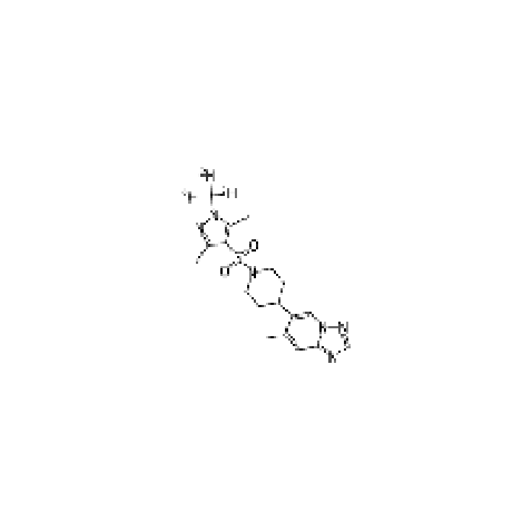 [2H]C([2H])([2H])n1nc(C)c(S(=O)(=O)N2CCC(c3cn4ncnc4cc3C)CC2)c1C